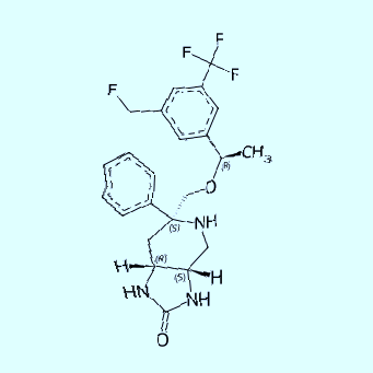 C[C@@H](OC[C@@]1(c2ccccc2)C[C@H]2NC(=O)N[C@H]2CN1)c1cc(CF)cc(C(F)(F)F)c1